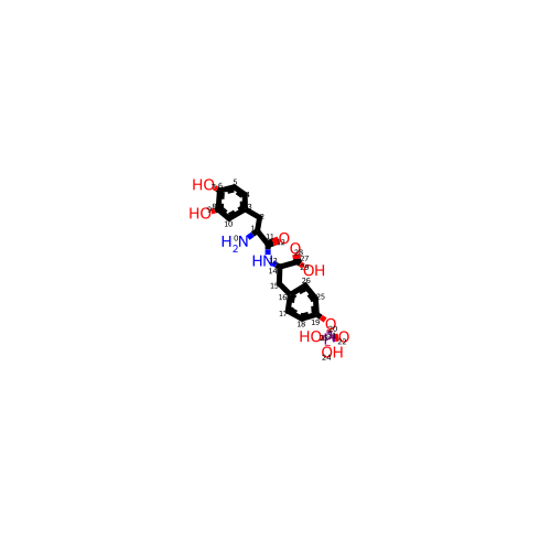 NC(Cc1ccc(O)c(O)c1)C(=O)NC(Cc1ccc(OP(=O)(O)O)cc1)C(=O)O